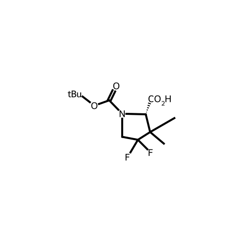 CC(C)(C)OC(=O)N1CC(F)(F)C(C)(C)[C@H]1C(=O)O